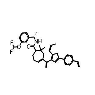 C=Cc1ccc(C2=CC(C(=C)C3=CCCC(C(=O)N[C@@H](C)c4cccc(OC(F)F)c4)C(C)(C)C3)=C(/C=C\C)C2)cc1